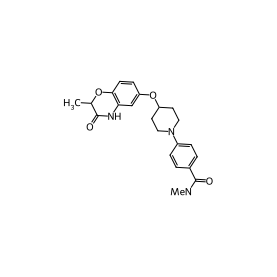 CNC(=O)c1ccc(N2CCC(Oc3ccc4c(c3)NC(=O)C(C)O4)CC2)cc1